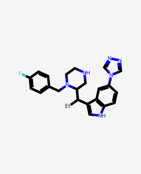 CCC(c1c[nH]c2ccc(-n3cnnc3)cc12)C1CNCCN1Cc1ccc(F)cc1